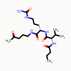 CCCC(=O)N[C@H](C(=O)N[C@@H](CCCNC(N)=O)C(=O)NCCCC(C)=O)C(C)C